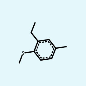 CCc1cc(C)ccc1SC